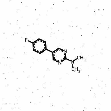 CN(C)c1ncc(-c2ccc(F)cc2)cn1